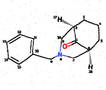 O=C1[C@@H]2CCC[C@H]1CN(Cc1ccccc1)C2